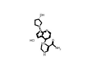 Cl.NC(=O)C1=CNCC[SH]1c1ccnc2c1ccn2N1CC[C@H](O)C1